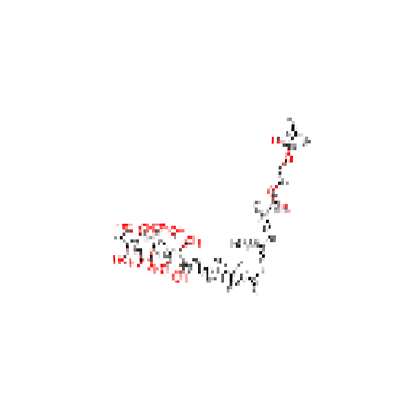 C=C(C)C(=O)O.C=C(C)C(=O)O.C=C(C)C(=O)O.C=C(C)C(=O)O.C=C(C)C(=O)OCCOC(=O)C(=C)C.OCCO.OCCO.OCCO.OCCO.OCCO